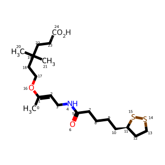 C/C(=C\CNC(=O)CCCC[C@@H]1CCSS1)OCCC(C)(C)CCC(=O)O